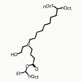 CCCCCCCCC([CH]CCCCCC[CH]N(CCO)CCCC(=O)OC(CC)CCCCCCCC)CCCCCCCC